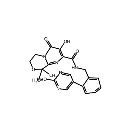 COc1ncc(-c2ccccc2CNC(=O)c2nc3n(c(=O)c2O)CCOC3(C)C)cn1